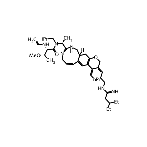 C=CN[C@H](C(=O)N(CC(C)C)[C@@H](C)/C1=N/C/C=C\C2=CC3=C(C[C@H]2CN1)OCC(=C/CCNC(=N)CC(CC)CC)/C3=C\CCC)[C@H](C)OC